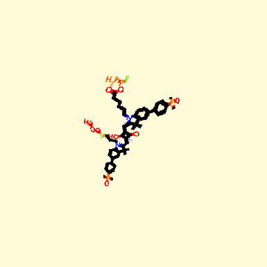 CC1(C)C(/C=C2/C(=O)C(/C=C3/N(CCCCCC(=O)OP(F)P)c4ccc(-c5ccc(P(C)(C)=O)cc5)cc4C3(C)C)=C2O)=[N+](CCCSOOO)c2ccc(-c3ccc(P(C)(C)=O)cc3)cc21